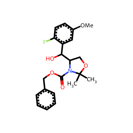 COc1ccc(F)c(C(O)C2COC(C)(C)N2C(=O)OCc2ccccc2)c1